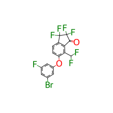 O=C1c2c(ccc(Oc3cc(F)cc(Br)c3)c2C(F)F)C(F)(F)C1(F)F